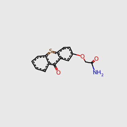 NC(=O)COc1ccc2sc3ccccc3c(=O)c2c1